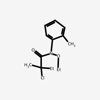 CCON(C(=O)C(C)(Cl)CC)c1ccccc1C